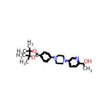 CC(O)c1ccc(N2CCN(c3ccc(B4OC(C)(C)C(C)(C)O4)cc3)CC2)cn1